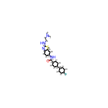 CN(C)CCNc1nc2ccc(NC(=O)c3ccc(-c4ccc(F)cc4)cc3)cc2s1